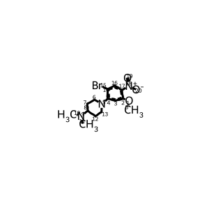 COc1cc(N2CCC(N(C)C)CC2)c(Br)cc1[N+](=O)[O-]